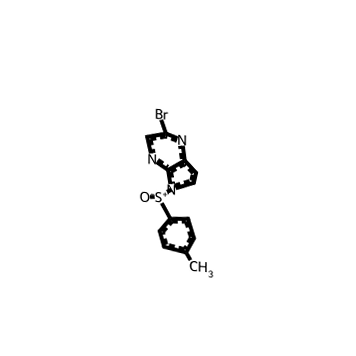 Cc1ccc([S+]([O-])n2ccc3nc(Br)cnc32)cc1